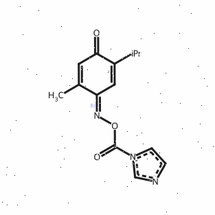 CC1=CC(=O)C(C(C)C)=C/C1=N\OC(=O)n1ccnc1